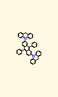 c1ccc(-c2c3ccc(N4c5ccccc5Cc5ccccc54)cc3c(-c3ccccc3)c3cc(N4c5ccccc5Cc5ccccc54)ccc23)cc1